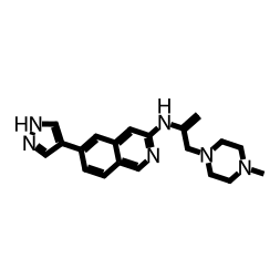 C=C(CN1CCN(C)CC1)Nc1cc2cc(-c3cn[nH]c3)ccc2cn1